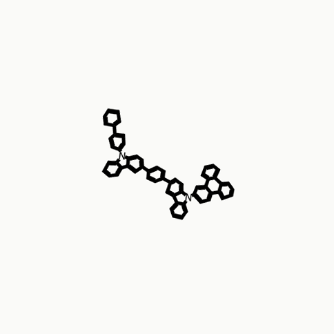 c1ccc(-c2ccc(-n3c4ccccc4c4cc(-c5ccc(-c6ccc7c(c6)c6ccccc6n7-c6ccc7c8ccccc8c8ccccc8c7c6)cc5)ccc43)cc2)cc1